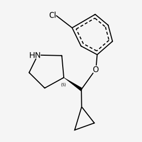 Clc1cccc(OC(C2CC2)[C@H]2CCNC2)c1